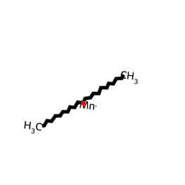 CCCCCCCCCCCCCCCCCCCCCCC.[Mn]